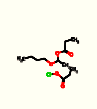 CCC(=O)OCl.CCCCOC(C)OC(=O)CC